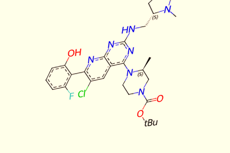 C[C@H]1CN(C(=O)OC(C)(C)C)CCN1c1nc(NC[C@@H]2CCCN2C)nc2nc(-c3c(O)cccc3F)c(Cl)cc12